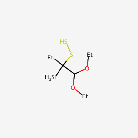 CCOC(OCC)C([SiH3])(CC)SS